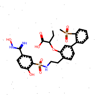 CCC(Oc1cc(-c2ccccc2S(C)(=O)=O)ccc1CCNS(=O)(=O)c1cc(C(=N)NO)ccc1O)C(=O)O